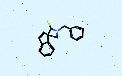 FC1N(Cc2ccccc2)CC12C=Cc1ccccc12